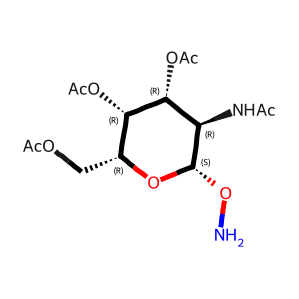 CC(=O)N[C@H]1[C@H](ON)O[C@H](COC(C)=O)[C@H](OC(C)=O)[C@@H]1OC(C)=O